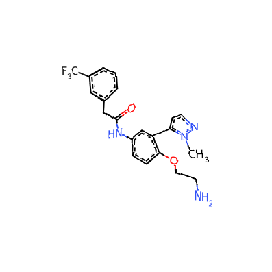 Cn1nccc1-c1cc(NC(=O)Cc2cccc(C(F)(F)F)c2)ccc1OCCN